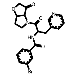 O=C(NC(Cc1cccnc1)C(=O)N1CCC2OCC(=O)C21)c1cccc(Br)c1